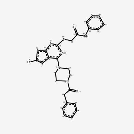 CCc1cc2c(N3CCN(C(=O)Cc4ccccc4)CC3)nc(SCC(=O)Nc3ccccc3)nc2s1